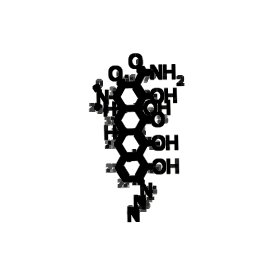 CN(C)[C@@H]1C(=O)C(C(N)=O)=C(O)[C@@]2(O)C(=O)C3=C(O)c4c(ccc(N=[N+]=[N-])c4O)C[C@H]3C[C@@H]12